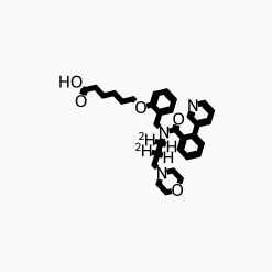 [2H]C([2H])(CN1CCOCC1)C([2H])([2H])N(Cc1ccccc1OCCCCCC(=O)O)C(=O)c1ccccc1-c1cccnc1